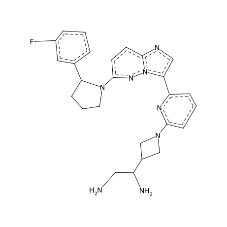 NCC(N)C1CN(c2cccc(-c3cnc4ccc(N5CCCC5c5cccc(F)c5)nn34)n2)C1